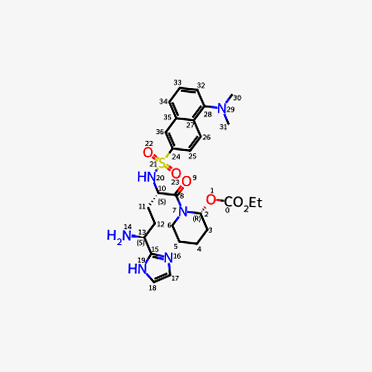 CCOC(=O)O[C@@H]1CCCCN1C(=O)[C@H](CC[C@H](N)c1ncc[nH]1)NS(=O)(=O)c1ccc2c(N(C)C)cccc2c1